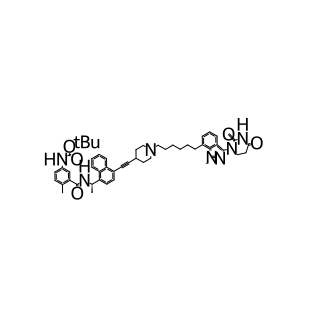 Cc1ccc(NC(=O)OC(C)(C)C)cc1C(=O)N[C@H](C)c1ccc(C#CC2CCN(CCCCCCc3cccc4c(N5CCC(=O)NC5=O)nn(C)c34)CC2)c2ccccc12